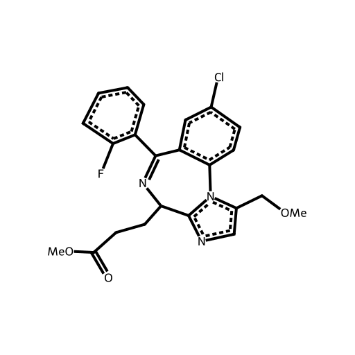 COCc1cnc2n1-c1ccc(Cl)cc1C(c1ccccc1F)=NC2CCC(=O)OC